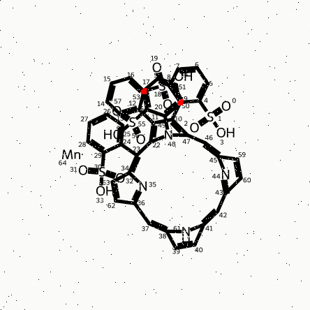 O=S(=O)(O)c1ccccc1-c1c(-c2ccccc2S(=O)(=O)O)c2c(-c3ccccc3S(=O)(=O)O)c3nc(cc4ccc(cc5nc(cc1n2-c1ccccc1S(=O)(=O)O)C=C5)[nH]4)C=C3.[Mn]